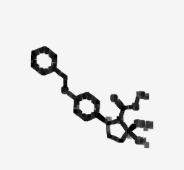 CC(C)(C)OC(=O)N1[C@H](c2ccc(OCc3ccccc3)cc2)CC[C@]1(C)C(=O)O